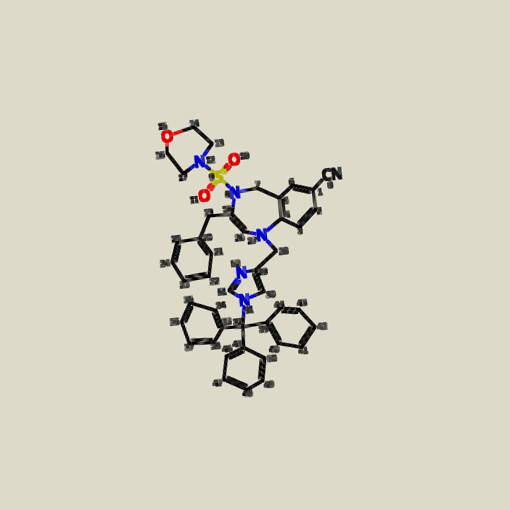 N#Cc1ccc2c(c1)CN(S(=O)(=O)N1CCOCC1)C(Cc1ccccc1)=CN2Cc1cn(C(c2ccccc2)(c2ccccc2)c2ccccc2)cn1